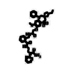 CCCCC1(CC)CN(c2ccccc2)c2cc(SC)c(OCC(=O)NCc3ccccc3C(=O)NCCN(C(N)=O)c3ncccn3)cc2S(=O)(=O)C1